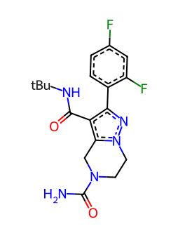 CC(C)(C)NC(=O)c1c(-c2ccc(F)cc2F)nn2c1CN(C(N)=O)CC2